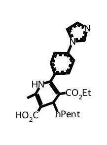 CCCCCC1C(C(=O)O)=C(C)NC(c2ccc(-n3ccnc3)cc2)=C1C(=O)OCC